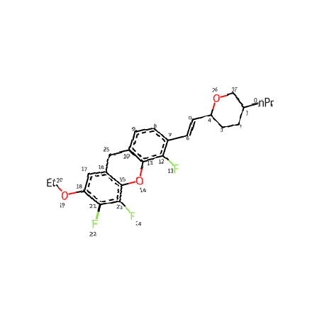 CCCC1CCC(/C=C/c2ccc3c(c2F)Oc2c(cc(OCC)c(F)c2F)C3)OC1